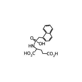 O=C(O)CCC(NP(=O)(O)Cc1cccc2ccccc12)C(=O)O